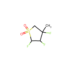 CC1(F)CS(=O)(=O)C(F)C1F